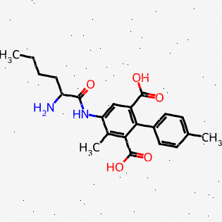 CCCCC(N)C(=O)Nc1cc(C(=O)O)c(-c2ccc(C)cc2)c(C(=O)O)c1C